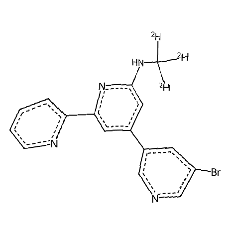 [2H]C([2H])([2H])Nc1cc(-c2cncc(Br)c2)cc(-c2ccccn2)n1